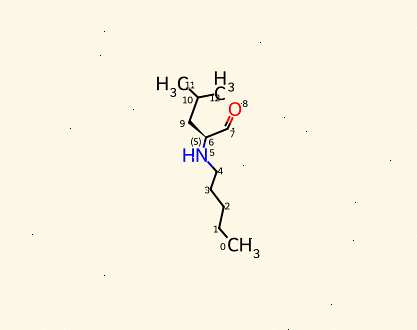 CCCCCN[C@H]([C]=O)CC(C)C